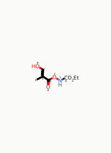 CCOC(=O)NOC(=O)C(C)=CO